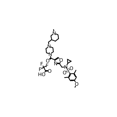 COc1cc(C)c(S(=O)(=O)N(Cc2nc(C(=O)N3CCN(CC4CCCN(C)C4)CC3)co2)C2CC2)c(C)c1.O=C(O)C(F)(F)F